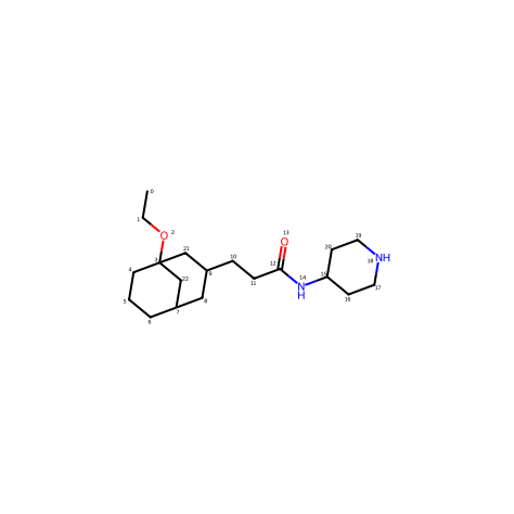 CCOC12CCCC(CC(CCC(=O)NC3CCNCC3)C1)C2